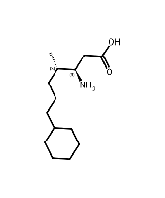 C[C@@H](CCCC1CCCCC1)[C@H](N)CC(=O)O